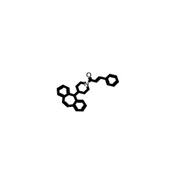 O=C(/C=C/c1ccccc1)N1CCC(C2c3ccccc3C=Cc3ccccc32)CC1